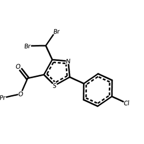 CC(C)OC(=O)c1sc(-c2ccc(Cl)cc2)nc1C(Br)Br